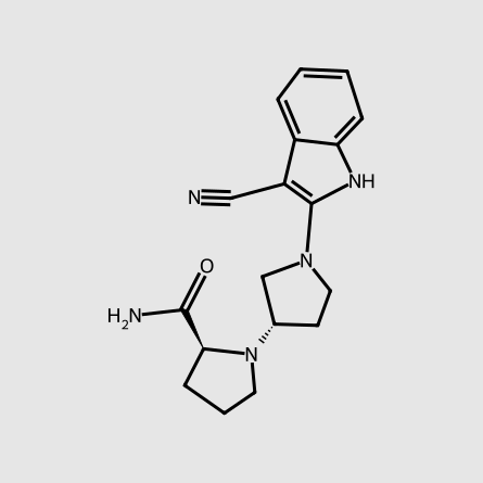 N#Cc1c(N2CC[C@H](N3CCC[C@H]3C(N)=O)C2)[nH]c2ccccc12